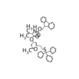 CC(=O)C[C@H](/C=C/CCSC(c1ccccc1)(c1ccccc1)c1ccccc1)OC(=O)C(NC(=O)OCC1c2ccccc2-c2ccccc21)C(C)C